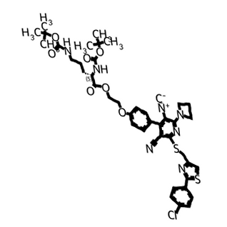 [C-]#[N+]c1c(N2CCC2)nc(SCc2csc(-c3ccc(Cl)cc3)n2)c(C#N)c1-c1ccc(OCCOC(=O)[C@H](CCCNC(=O)OC(C)(C)C)NC(=O)OC(C)(C)C)cc1